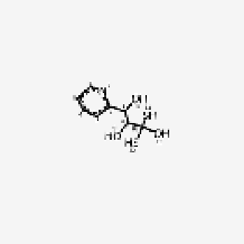 OC(c1ccccn1)C(O)C(O)(S)S